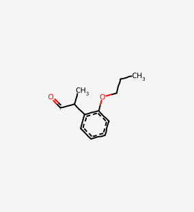 CCCOc1ccccc1C(C)[C]=O